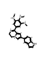 COc1cc(C2=NCCn3cc(-c4ccc5[nH]ccc5c4)cc32)cc(OC)c1OC